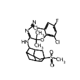 CC(C)(Oc1c(Cl)cc(F)cc1Cl)/C(=N\C#N)NC1C2CC3CC1CC(S(C)(=O)=O)(C3)C2